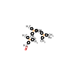 Cc1ccc(P(c2ccc(C)cc2)c2ccc(C)cc2)cc1.Cc1ccc(P(c2ccc(C)cc2)c2ccc(C)cc2)cc1.Cc1ccc(P(c2ccc(C)cc2)c2ccc(C)cc2)cc1.[C]=O.[C]=O.[Ru]